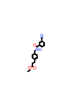 CCOC(=O)CCc1ccc(CNC(=O)c2cccc(C#N)c2)cc1